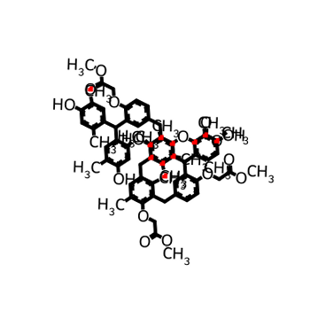 COC(=O)COc1ccc(Cc2c(C)c(Cc3cc(C)c(OCC(=O)OC)c(Cc4ccc(OCC(=O)OC)c(C(c5cc(C)c(O)cc5C)c5cc(C)c(O)cc5C)c4)c3C)cc(C)c2OCC(=O)OC)cc1C(c1cc(C)c(O)cc1C)c1cc(C)c(O)cc1C